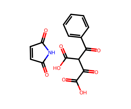 O=C(O)C(=O)C(C(=O)O)C(=O)c1ccccc1.O=C1C=CC(=O)N1